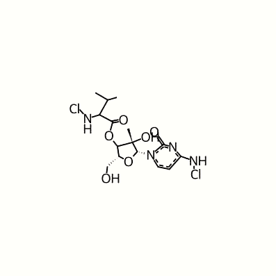 CC(C)C(NCl)C(=O)OC1[C@@H](CO)O[C@@H](n2ccc(NCl)nc2=O)[C@@]1(C)O